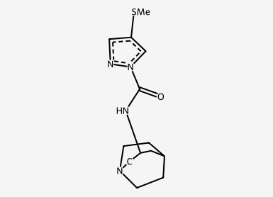 CSc1cnn(C(=O)NC2CC3CCN(CC3)C2)c1